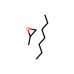 CC1CO1.CCCCCCC